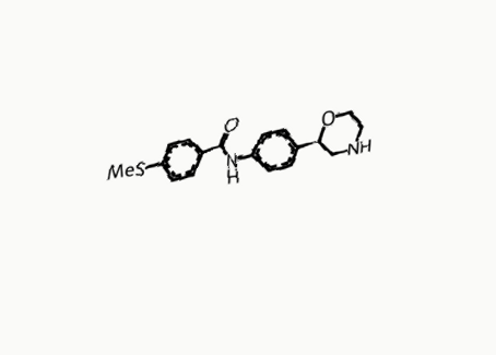 CSc1ccc(C(=O)Nc2ccc([C@@H]3CNCCO3)cc2)cc1